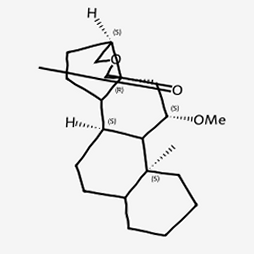 CO[C@H]1C[C@]23C(=O)OC[C@H]2CCC3[C@@H]2CCC3CCCC[C@]3(C)C21